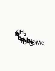 COC(=O)CN1CCC(C(=O)Nc2cc3cc(-c4cnn(C)c4)ccc3cn2)CC1